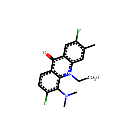 Cc1cc2c(cc1Br)c(=O)c1ccc(Cl)c(N(C)C)c1n2CC(=O)O